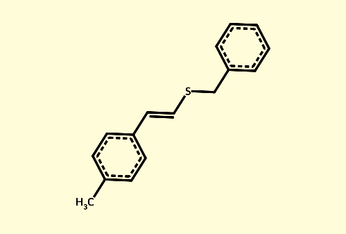 Cc1ccc(C=CSCc2ccccc2)cc1